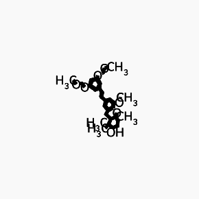 COCOc1cc(C=Cc2cc3c(c(OC)c2)OC2(C)CCC(O)C(C)(C)C2C3)cc(OCOC)c1